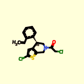 C=Cc1ccccc1[C@@H]1CN(C(=O)CCl)Cc2sc(Cl)cc21